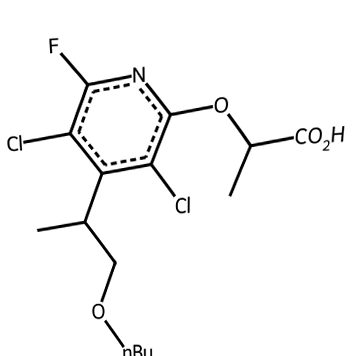 CCCCOCC(C)c1c(Cl)c(F)nc(OC(C)C(=O)O)c1Cl